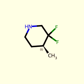 C[C@H]1CCNCC1(F)F